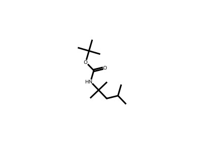 CC(C)CC(C)(C)NC(=O)OC(C)(C)C